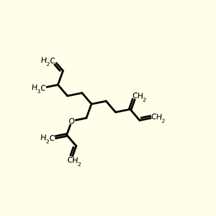 C=CC(=C)CCC(CCC(C)C=C)COC(=C)C=C